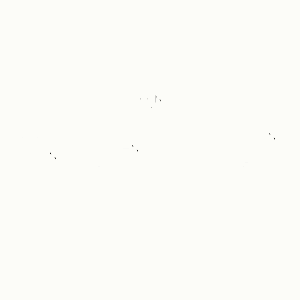 NS(=O)(=O)c1ccc(NC[C@H]2CN(C(=O)O)CCO2)c([N+](=O)[O-])c1